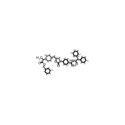 CC(C(=O)OCc1ccccc1)N1CCN(CC2CN(c3ccc(C(=N)NC(=O)C(c4ccccc4)c4ccccc4)cc3)C(=O)O2)CC1